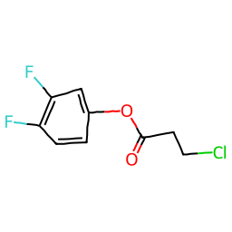 O=C(CCCl)Oc1ccc(F)c(F)c1